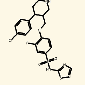 O=S(=O)(Nc1ncns1)c1ccc(OCC2CNCCC2c2ccc(Cl)cc2)c(F)c1